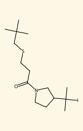 CC(C)(C)CSCCC(=O)N1CCC(C(C)(C)I)C1